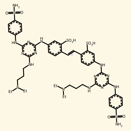 CCN(CC)CCCNc1nc(Nc2ccc(S(N)(=O)=O)cc2)nc(Nc2ccc(/C=C/c3ccc(Nc4nc(NCCCN(CC)CC)nc(Nc5ccc(S(N)(=O)=O)cc5)n4)cc3S(=O)(=O)O)c(S(=O)(=O)O)c2)n1